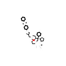 CNC(=O)O[C@H]1CCC[C@@H]1C(CN1CCCC1)(c1ccccc1)C1CCN(CC2CN(c3ccc(S(=O)(=O)c4ccccc4)cc3)C2)CC1